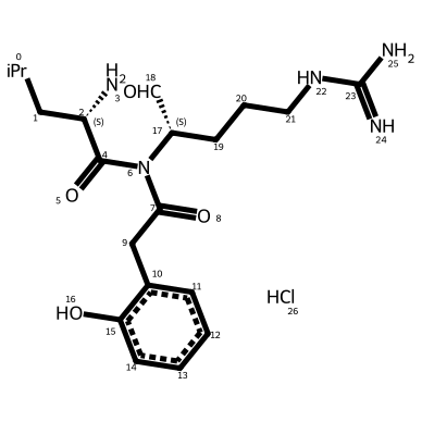 CC(C)C[C@H](N)C(=O)N(C(=O)Cc1ccccc1O)[C@H](C=O)CCCNC(=N)N.Cl